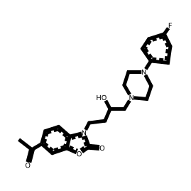 CC(=O)c1ccc2c(c1)oc(=O)n2CCC(O)CN1CCN(c2ccc(F)cc2)CC1